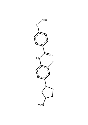 CCCCOc1ccc(C(=O)Nc2ccc(N3CCC(NC)C3)cc2F)cc1